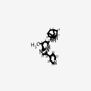 Cc1cc(NC23CC4CC(C2)C(O)C(C4)C3)nn2c(-c3ccncc3)cnc12